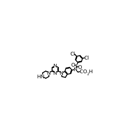 O=C(O)CN(c1ccc2c(c1)CCN2c1cncc(N2CCNCC2)n1)S(=O)(=O)c1cc(Cl)cc(Cl)c1